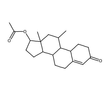 CC(=O)OC1CCC2C3CCC4=CC(=O)CCC4C3C(C)CC12C